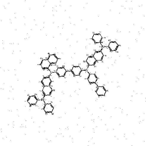 c1ccc(-c2ccc(N(c3ccc(-c4ccc(N(c5ccc6cc(N(c7ccccc7)c7ccccc7)ccc6c5)c5cccc6ccccc56)cc4)cc3)c3ccc4cc(N(c5ccccc5)c5ccccc5)ccc4c3)cc2)cc1